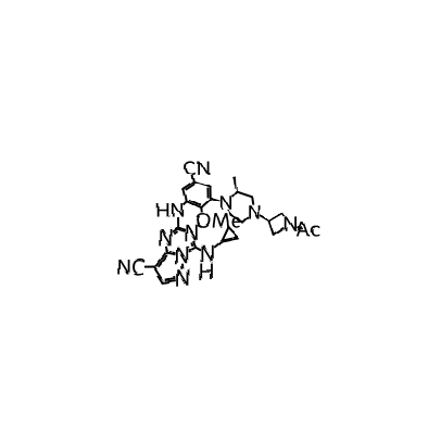 COc1c(Nc2nc(NC3CC3)n3ncc(C#N)c3n2)cc(C#N)cc1N1CCN(C2CN(C(C)=O)C2)C[C@@H]1C